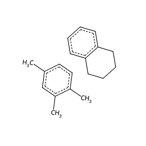 Cc1ccc(C)c(C)c1.c1ccc2c(c1)CCCC2